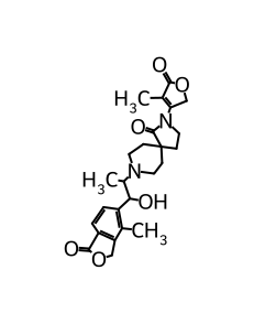 CC1=C(N2CCC3(CCN(C(C)C(O)c4ccc5c(c4C)COC5=O)CC3)C2=O)COC1=O